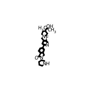 CC(C)(O)C1CCN(Cc2cc(-c3ccc4c(c3)CN(C3CCCNC3)C4=O)ncc2F)CC1